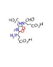 N[C@H](CCC(=O)O)C(=O)N[C@@H](CCC(=O)O)C(=O)N[C@H](C=O)CCC(=O)O